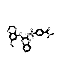 COc1cc(Nc2nc3ccccc3nc2NS(=O)(=O)c2ccc(C(=O)N(C)C)cc2)c2c(c1)OCCO2